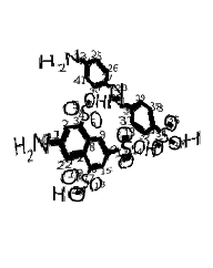 Nc1cc(S(=O)(=O)O)c2cc(S(=O)(=O)O)cc(S(=O)(=O)O)c2c1.Nc1ccc(N=Nc2ccc(S(=O)(=O)O)cc2)cc1